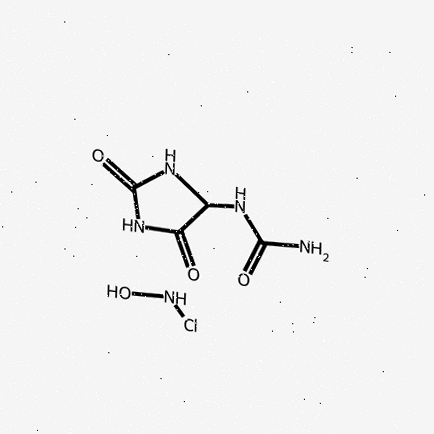 NC(=O)NC1NC(=O)NC1=O.ONCl